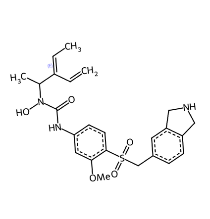 C=C/C(=C\C)C(C)N(O)C(=O)Nc1ccc(S(=O)(=O)Cc2ccc3c(c2)CNC3)c(OC)c1